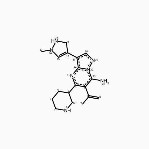 C=C(C)c1c(C2CCCNC2)nc2c(C3=CN(C)NC3)cnn2c1N